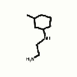 CC1CCCC(NCCN)C1